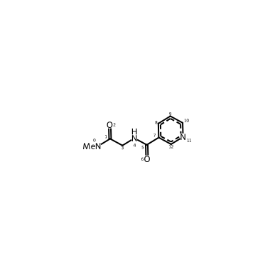 CNC(=O)CNC(=O)c1cccnc1